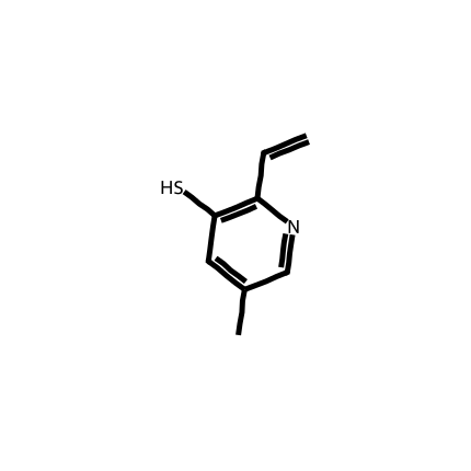 C=Cc1ncc(C)cc1S